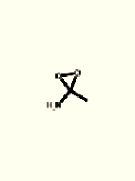 CC1(N)OO1